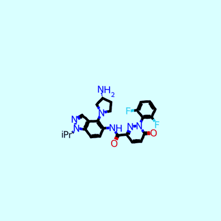 CC(C)n1ncc2c(N3CC[C@@H](N)C3)c(NC(=O)c3ccc(=O)n(-c4c(F)cccc4F)n3)ccc21